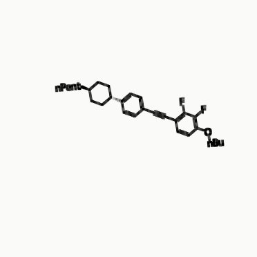 CCCCC[C@H]1CC[C@H](c2ccc(C#Cc3ccc(OCCCC)c(F)c3F)cc2)CC1